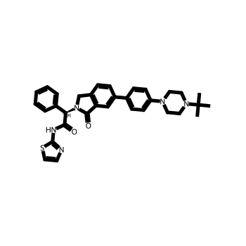 CC(C)(C)N1CCN(c2ccc(-c3ccc4c(c3)C(=O)N([C@@H](C(=O)Nc3nccs3)c3ccccc3)C4)cc2)CC1